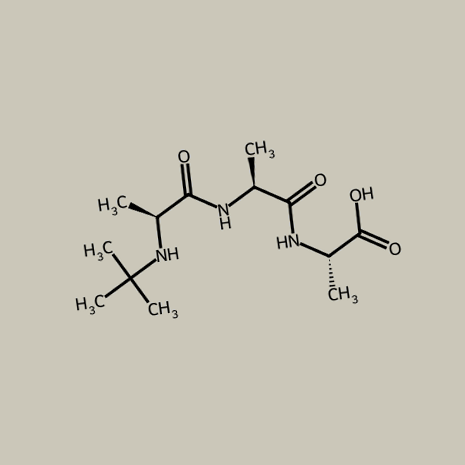 C[C@H](NC(=O)[C@H](C)NC(=O)[C@H](C)NC(C)(C)C)C(=O)O